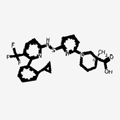 C[C@]1(C(=O)O)CCCN(c2cccc(SNc3ccc(C(F)(F)F)c(-c4ccccc4C4CC4)n3)n2)C1